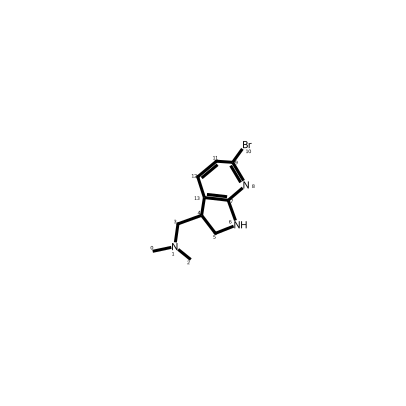 CN(C)CC1CNc2nc(Br)ccc21